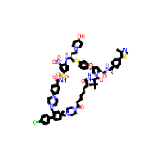 Cc1ncsc1-c1ccc([C@H](C)NC(=O)[C@@H]2C[C@@H](O)CN2C(=O)[C@@H](NC(=O)CCCCCCC(=O)N2CCN(CC3(C)CCC(c4ccc(Cl)cc4)=C(CN4CCN(c5ccc(C(=O)NS(=O)(=O)c6ccc(N[C@H](CCN7CCC(O)CC7)CSc7ccccc7)c([N+](=O)[O-])c6)cc5)CC4)C3)CC2)C(C)(C)C)cc1